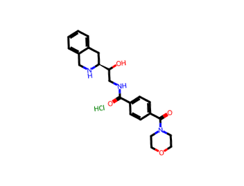 Cl.O=C(NCC(O)[C@@H]1Cc2ccccc2CN1)c1ccc(C(=O)N2CCOCC2)cc1